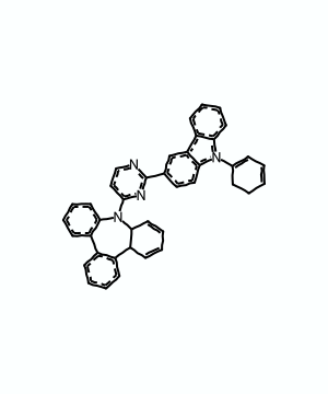 C1=CCCC(n2c3ccccc3c3cc(-c4nccc(N5c6ccccc6-c6ccccc6C6C=CC=CC65)n4)ccc32)=C1